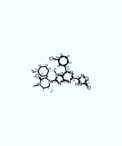 C[C@@H]1CN(C)C(=O)CN1c1nc2nc(-c3noc(=O)[nH]3)nc(-c3cccc(Cl)c3)c2n1C[C@H]1CC[C@H](C)CC1